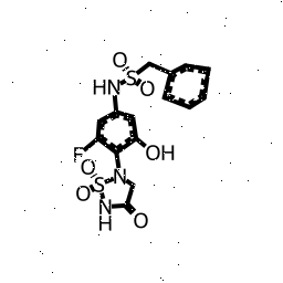 O=C1CN(c2c(O)cc(NS(=O)(=O)Cc3ccccc3)cc2F)S(=O)(=O)N1